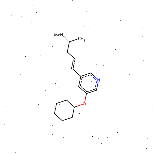 CN[C@H](C)C/C=C/c1cncc(OC2CCCCC2)c1